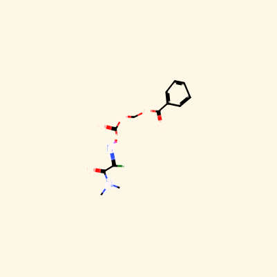 CN(C)C(=O)C(Cl)=NOC(=O)OCOC(=O)c1ccccc1